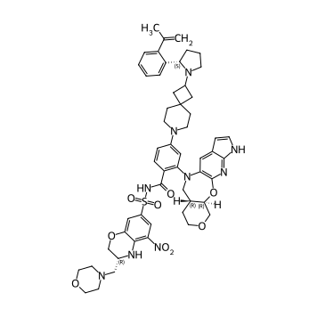 C=C(C)c1ccccc1[C@@H]1CCCN1C1CC2(CCN(c3ccc(C(=O)NS(=O)(=O)c4cc5c(c([N+](=O)[O-])c4)N[C@H](CN4CCOCC4)CO5)c(N4C[C@H]5CCOC[C@@H]5Oc5nc6[nH]ccc6cc54)c3)CC2)C1